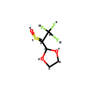 O=S=C(C1OCCO1)C(F)(F)F